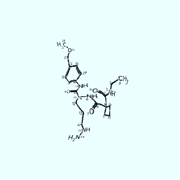 CCNC(=O)C1(C(=O)N[C@@H](CCCNN)C(=O)Nc2ccc(COC)cc2)CCC1